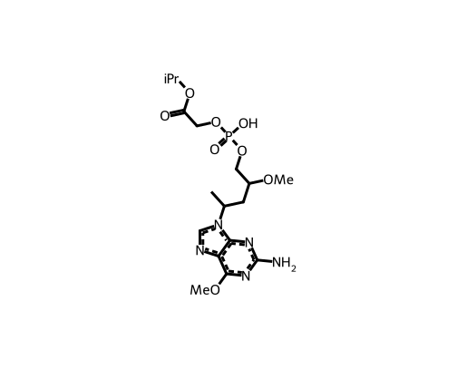 COc1nc(N)nc2c1ncn2C(C)CC(COP(=O)(O)OCC(=O)OC(C)C)OC